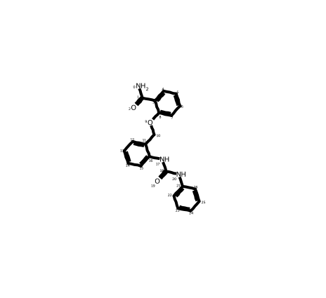 NC(=O)c1ccccc1OCc1ccccc1NC(=O)Nc1ccccc1